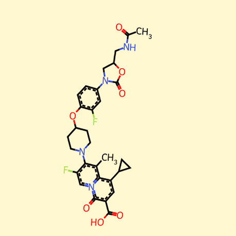 CC(=O)NCC1CN(c2ccc(OC3CCN(c4c(F)cn5c(=O)c(C(=O)O)cc(C6CC6)c5c4C)CC3)c(F)c2)C(=O)O1